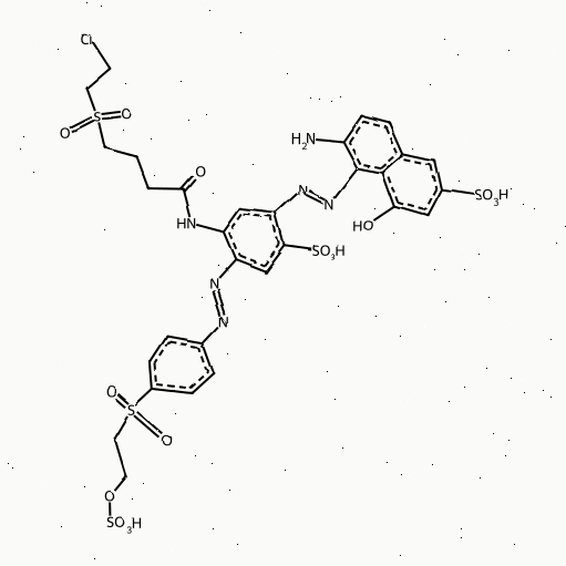 Nc1ccc2cc(S(=O)(=O)O)cc(O)c2c1/N=N/c1cc(NC(=O)CCCS(=O)(=O)CCCl)c(/N=N/c2ccc(S(=O)(=O)CCOS(=O)(=O)O)cc2)cc1S(=O)(=O)O